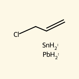 C=CCCl.[PbH2].[SnH2]